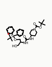 CC(C)(C)OC(=O)N1CCC(NC(=O)NC(CO)CO[Si](c2ccccc2)(c2ccccc2)C(C)(C)C)CC1